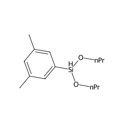 CCCO[SiH](OCCC)c1cc(C)cc(C)c1